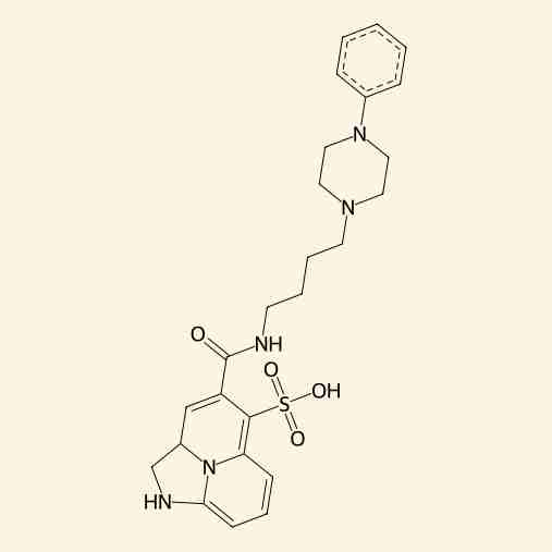 O=C(NCCCCN1CCN(c2ccccc2)CC1)C1=CC2CNC3=CC=CC(=C1S(=O)(=O)O)N32